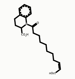 CCCCCCCC/C=C\CCCCCCCC(=O)N1c2ccccc2CCC1C(=O)O